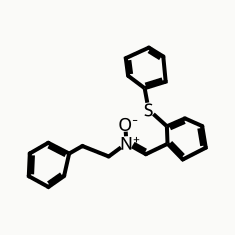 [O-][N+](=Cc1ccccc1Sc1ccccc1)CCc1ccccc1